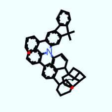 CC1(C)c2ccccc2-c2cc(-c3ccccc3)c(N(C3=CCC(C45CC6CC7CC(C4)C75C6)C=C3)c3ccccc3-c3ccc(C4CCCCC4)cc3)cc21